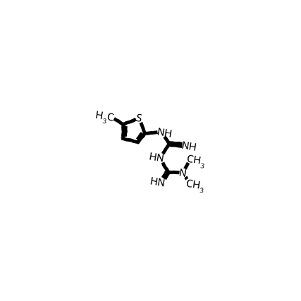 Cc1ccc(NC(=N)NC(=N)N(C)C)s1